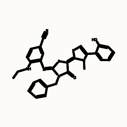 CCNc1ccc(C#N)cc1N=C1SC(=C2SC=C(c3ccccc3O)N2C)C(=O)N1Cc1ccccc1